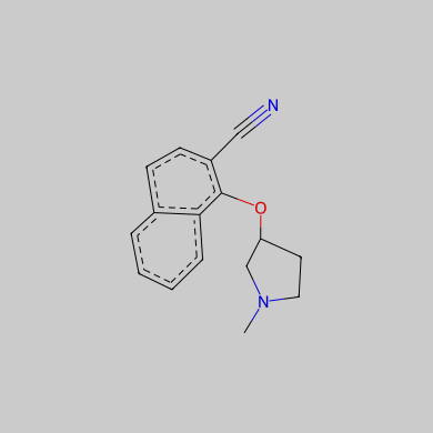 CN1CCC(Oc2c(C#N)ccc3ccccc23)C1